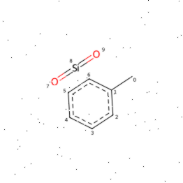 Cc1ccccc1.O=[Si]=O